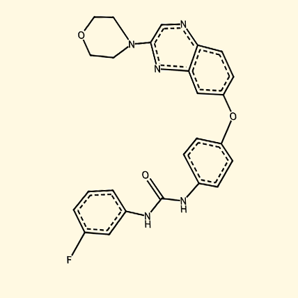 O=C(Nc1ccc(Oc2ccc3ncc(N4CCOCC4)nc3c2)cc1)Nc1cccc(F)c1